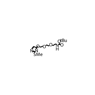 CSc1nccc(OCCOCCOCCNC(=O)OC(C)(C)C)n1